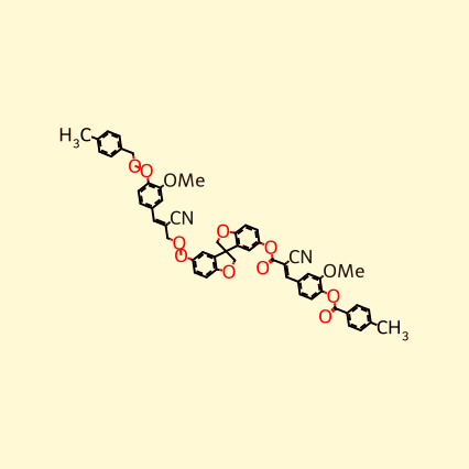 COc1cc(/C=C(\C#N)COOc2ccc3c(c2)C2(CO3)COc3ccc(OC(=O)/C(C#N)=C/c4ccc(OC(=O)c5ccc(C)cc5)c(OC)c4)cc32)ccc1OOCc1ccc(C)cc1